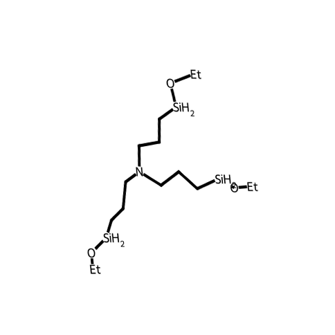 CCO[SiH2]CCCN(CCC[SiH2]OCC)CCC[SiH2]OCC